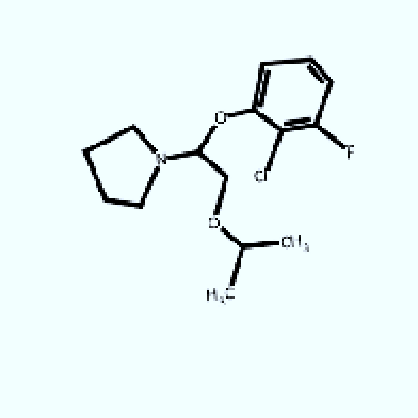 CC(C)OCC(Oc1cccc(F)c1Cl)N1CCCC1